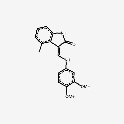 COc1ccc(NC=C2C(=O)Nc3cccc(C)c32)cc1OC